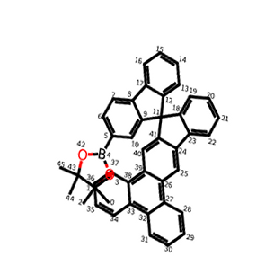 CC1(C)OB(c2ccc3c(c2)C2(c4ccccc4-3)c3ccccc3-c3cc4c5ccccc5c5ccccc5c4cc32)OC1(C)C